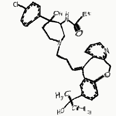 CCC(=O)NC1CN(CCC=C2c3cc(C(C)(C)O)ccc3OCc3ncccc32)CCC1(O)c1ccc(Cl)cc1